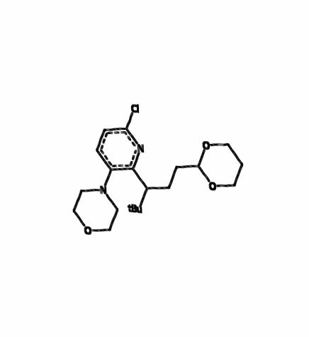 CC(C)(C)C(CCC1OCCCO1)c1nc(Cl)ccc1N1CCOCC1